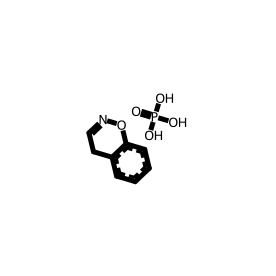 C1=NOc2ccccc2C1.O=P(O)(O)O